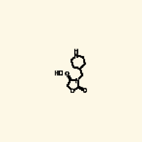 Cl.O=C1COC(=O)N1CC1CCNCC1